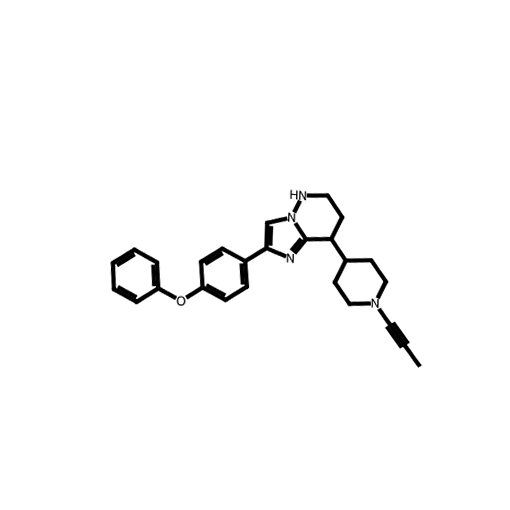 CC#CN1CCC(C2CCNn3cc(-c4ccc(Oc5ccccc5)cc4)nc32)CC1